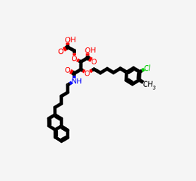 Cc1ccc(CCCCCOC(C(=O)NCCCCCc2ccc3ccccc3c2)C(OCC(=O)O)C(=O)O)cc1Cl